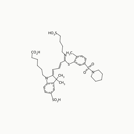 Cc1ccc(S(=O)(=O)N2CCCCC2)cc1SC(/C=C/C=C1/N(CCCCCC(=O)O)c2ccc(S(=O)(=O)O)cc2C1(C)C)=N/CCCCS(=O)(=O)O